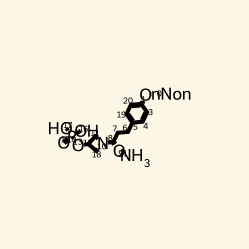 CCCCCCCCCOc1ccc(CCC(=O)N2CC(OP(=O)(O)O)C2)cc1.N